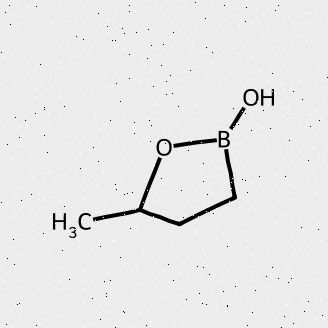 CC1CCB(O)O1